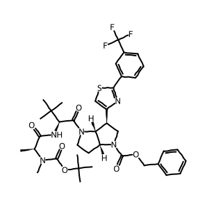 C[C@@H](C(=O)N[C@H](C(=O)N1CC[C@@H]2[C@H]1[C@@H](c1csc(-c3cccc(C(F)(F)F)c3)n1)CN2C(=O)OCc1ccccc1)C(C)(C)C)N(C)C(=O)OC(C)(C)C